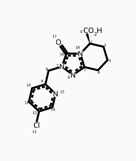 O=C(O)[C@H]1CCCc2nn(Cc3ccc(Cl)cn3)c(=O)n21